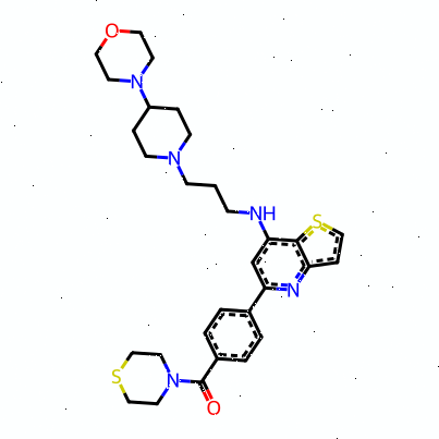 O=C(c1ccc(-c2cc(NCCCN3CCC(N4CCOCC4)CC3)c3sccc3n2)cc1)N1CCSCC1